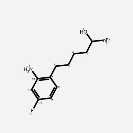 CCCC(O)CCCCc1ccc(F)cc1N